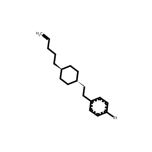 C=CCCC[C@H]1CC[C@H](CCc2ccc(CC)cc2)CC1